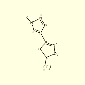 Cn1cc(C2=NOC(C(=O)O)C2)cn1